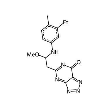 CCc1cc(NC(CC2=NC(=O)C3=NN=NC3=N2)OC)ccc1C